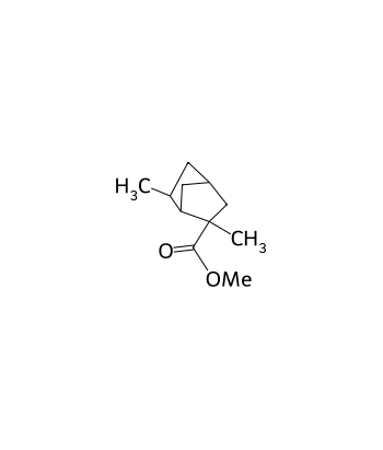 COC(=O)C1(C)CC2CC(C)C1C2